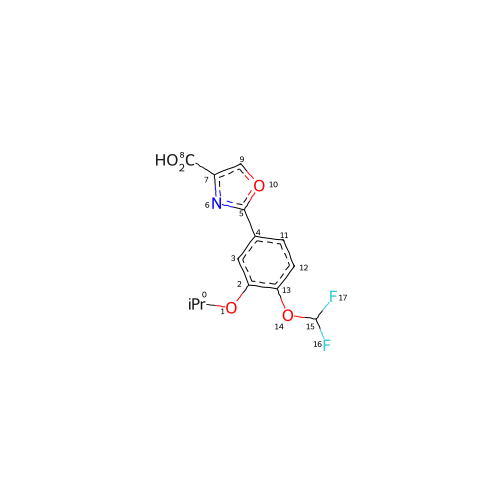 CC(C)Oc1cc(-c2nc(C(=O)O)co2)ccc1OC(F)F